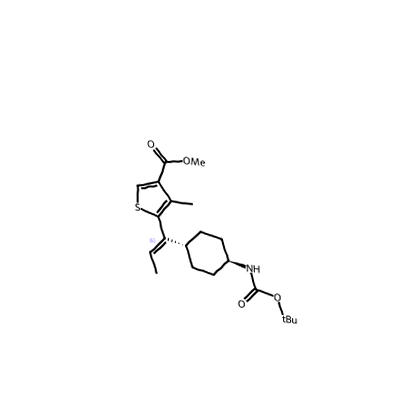 C/C=C(/c1scc(C(=O)OC)c1C)[C@H]1CC[C@H](NC(=O)OC(C)(C)C)CC1